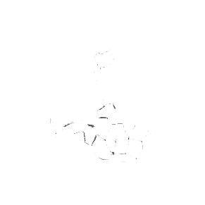 C[C@]12C[C@H](c3ccc(OCCN4CCCCC4)cc3)[C@@H]3c4ccc(OS(N)(=O)=O)cc4CC[C@@]3(C)[C@@H]1CC[C@@H]2O